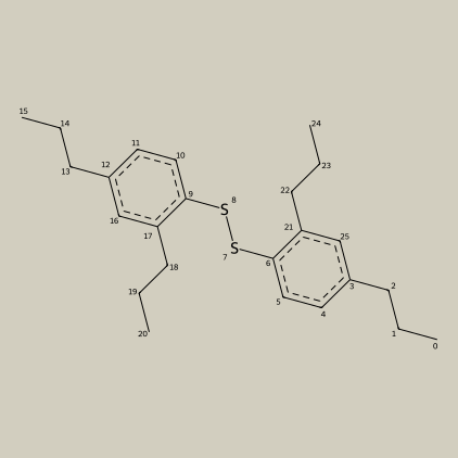 CCCc1ccc(SSc2ccc(CCC)cc2CCC)c(CCC)c1